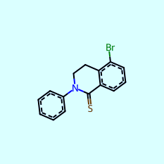 S=C1c2cccc(Br)c2CCN1c1ccccc1